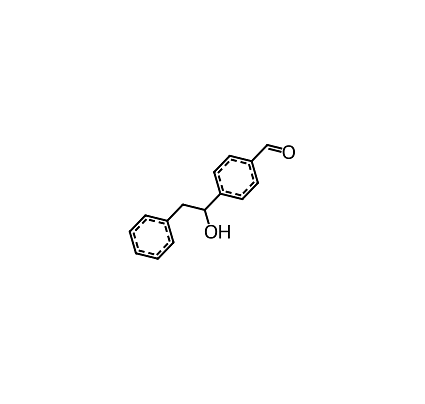 O=Cc1ccc(C(O)Cc2ccccc2)cc1